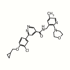 Cc1cnc(N2CCOCC2)c(CNC(=O)c2cnnc(-c3ccc(OCC4CC4)c(Cl)c3)c2)c1